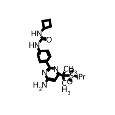 CC(C)S(=O)(=O)C(C)(C)c1cc(N)nc(-c2ccc(NC(=O)NC3CCC3)cc2)n1